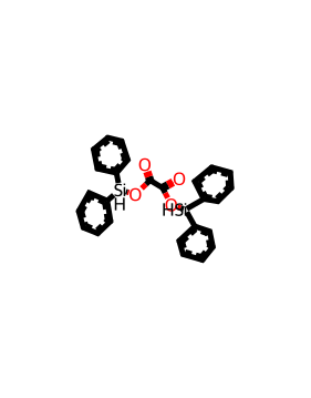 O=C(O[SiH](c1ccccc1)c1ccccc1)C(=O)O[SiH](c1ccccc1)c1ccccc1